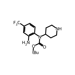 CC(C)(C)OC(=O)N(c1ccc(C(F)(F)F)cc1N)C1CCNCC1